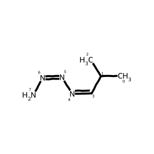 CC(C)/C=N\N=N/N